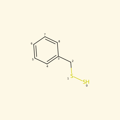 SSCc1ccccc1